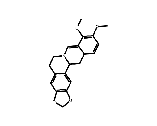 COC1=C(OC)C2=CN3CCc4cc5c(cc4C3CC2C=C1)OCO5